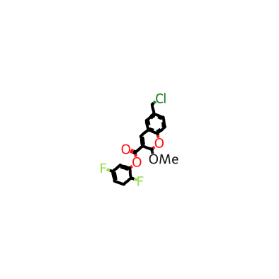 COC1Oc2ccc(CCl)cc2C=C1C(=O)OC1=CC(F)=CCC1F